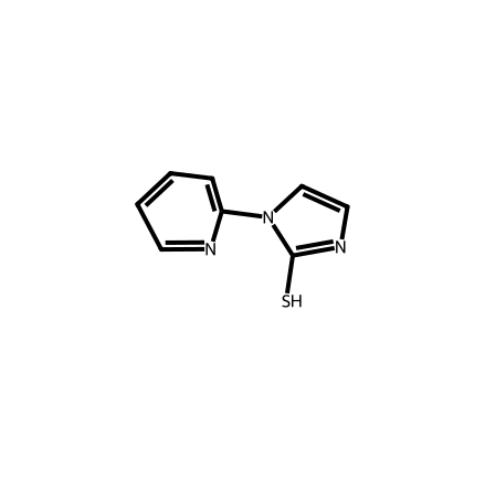 Sc1nccn1-c1ccccn1